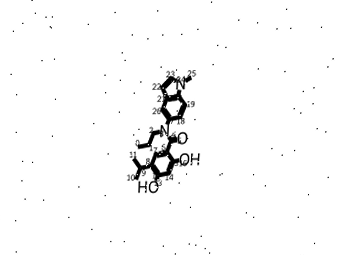 CCCN(C(=O)c1cc(C(C)C)c(O)cc1O)c1ccc2c(ccn2C)c1